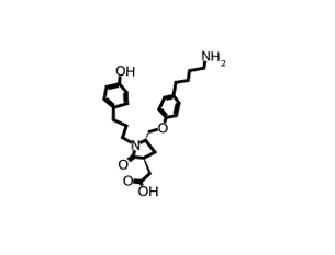 NCCCCc1ccc(OC[C@@H]2C[C@@H](CC(=O)O)C(=O)N2CCCc2ccc(O)cc2)cc1